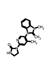 C=C1N(C)c2ccccc2N1c1cnc(N2CCNC2=O)cc1C